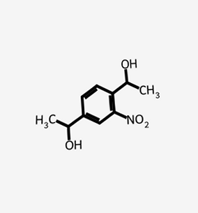 CC(O)c1ccc(C(C)O)c([N+](=O)[O-])c1